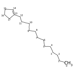 CCCCCCCCCCCCCC1=CCCC1